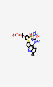 CC(C)(O)c1csc([S@@](N)(=O)=NC(=O)Nc2c3c(nc4c2CCC42CC2)CCC3)c1